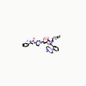 CN1CCN(c2ccccc2C2SC(CC(=O)N3CCC(n4cc(-c5ccccc5)[nH]c4=O)CC3)C(=O)N2CCC(C)(C)C)CC1